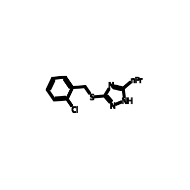 CCCc1nc(SCc2ccccc2Cl)n[nH]1